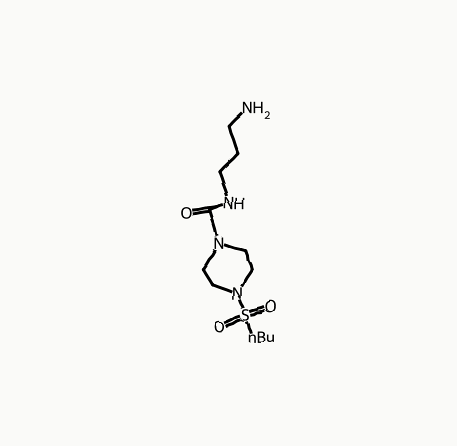 CCCCS(=O)(=O)N1CCN(C(=O)NCCCN)CC1